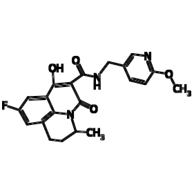 COc1ccc(CNC(=O)c2c(O)c3cc(F)cc4c3n(c2=O)C(C)CC4)cn1